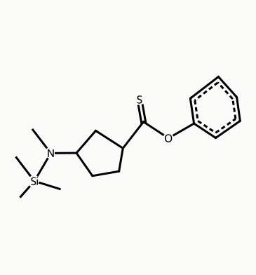 CN(C1CCC(C(=S)Oc2ccccc2)C1)[Si](C)(C)C